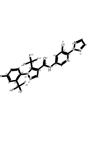 O=C(Nc1cnc(-n2nccn2)c(Cl)c1)c1cnn(-c2ccc(F)cc2C(F)(F)F)c1C(F)(F)F